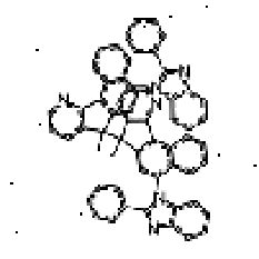 CC1(C2(C)c3cccnc3-c3c2cc(-n2c(-c4ccccc4)nc4ccccc42)c2ccccc32)c2cccnc2-c2c1cc(-n1c(-c3ccccc3)nc3ccccc31)c1ccccc21